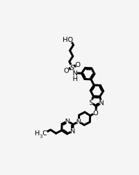 CCCc1cnc(N2CCC(Oc3nc4ccc(-c5cccc(NS(=O)(=O)CCCCO)c5)cc4s3)CC2)nc1